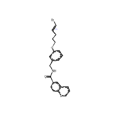 CC/C=C/CCCOc1cccc(CNC(=O)c2ccc3ncccc3c2)c1